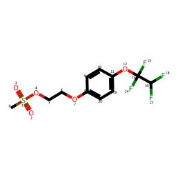 CS(=O)(=O)OCCOc1ccc(OC(F)(F)C(F)F)cc1